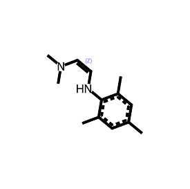 Cc1cc(C)c(N/C=C\N(C)C)c(C)c1